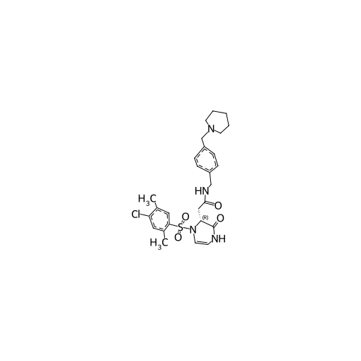 Cc1cc(S(=O)(=O)N2C=CNC(=O)[C@H]2CC(=O)NCc2ccc(CN3CCCCC3)cc2)c(C)cc1Cl